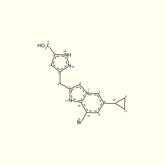 O=C(O)c1cc(Cc2cn3cc(C4CC4)cc(Br)c3n2)n[nH]1